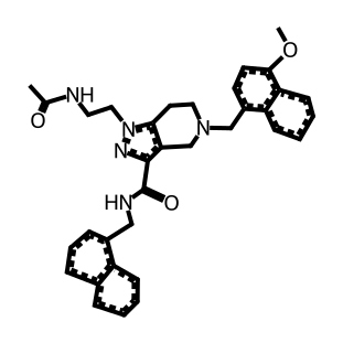 COc1ccc(CN2CCc3c(c(C(=O)NCc4cccc5ccccc45)nn3CCNC(C)=O)C2)c2ccccc12